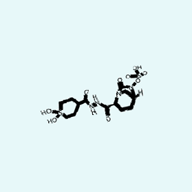 O=C(NNC(=O)[C@@H]1CC[C@@H]2CN1C(=O)N2OS(=O)(=O)O)C1CCS(O)(O)CC1